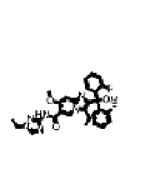 CCc1c(C(O)(c2ccccc2F)C2C=CC=CC2F)nc2cc(OC)c(C(=O)Nc3ncn(CC)n3)cn12